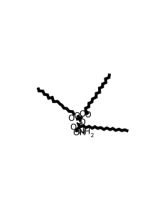 CCCCCCCCCCCCCCCC(=O)OCC(C)(OC(=O)CCCCCCCCCCCCCCC)SC[C@](N)(C(=O)O)C(=O)CCCCCCCCCCCCCCC